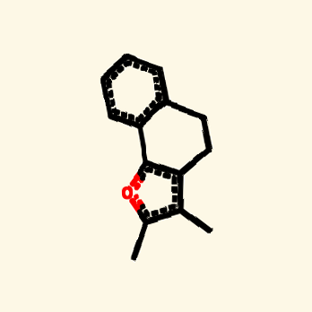 Cc1oc2c(c1C)CCc1ccccc1-2